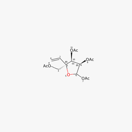 C=C[C@]1(COC(C)=O)OC(OC(C)=O)[C@H](OC(C)=O)[C@@H]1OC(C)=O